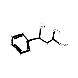 COC(C)CC(O)c1ccccc1